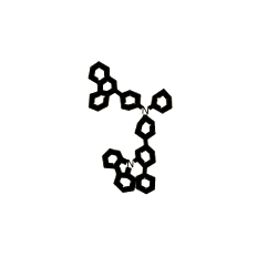 c1ccc(-c2ccc(-c3ccc(N(c4ccccc4)c4ccc(-c5cc6ccccc6c6ccccc56)cc4)cc3)cc2-n2c3ccccc3c3ccccc32)cc1